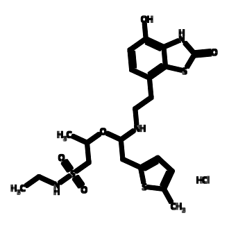 CCNS(=O)(=O)CC(C)OC(Cc1ccc(C)s1)NCCc1ccc(O)c2[nH]c(=O)sc12.Cl